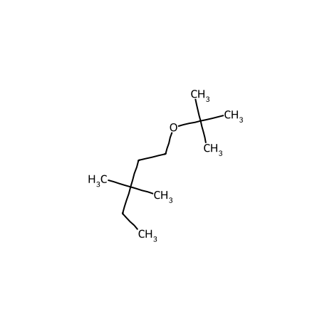 CCC(C)(C)CCOC(C)(C)C